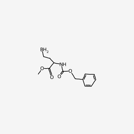 BCCC(NC(=O)OCc1ccccc1)C(=O)OC